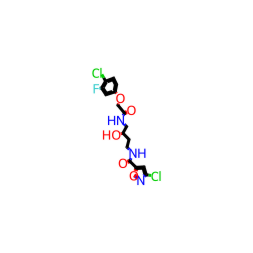 O=C(COc1ccc(Cl)c(F)c1)NCC(O)CCNC(=O)c1cc(Cl)no1